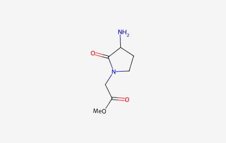 COC(=O)CN1CCC(N)C1=O